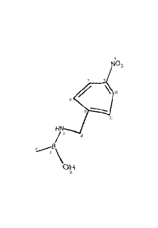 CB(O)NCc1ccc([N+](=O)[O-])cc1